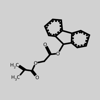 C=C(C)C(=O)OCC(=O)OC1c2ccccc2-c2ccccc21